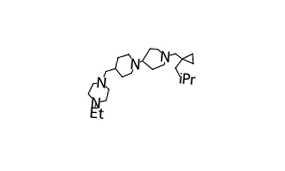 CCN1CCN(CC2CCN(C3CCN(CC4(CC(C)C)CC4)CC3)CC2)CC1